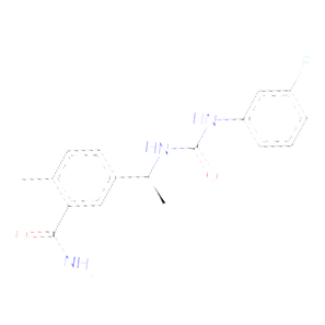 Cc1ccc([C@H](C)NC(=O)Nc2cccc(F)c2)cc1C(N)=O